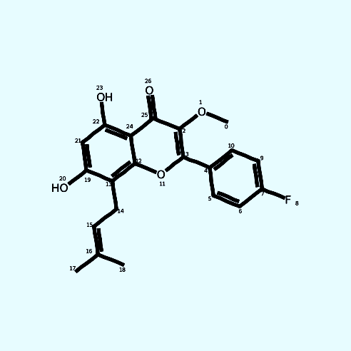 COc1c(-c2ccc(F)cc2)oc2c(CC=C(C)C)c(O)cc(O)c2c1=O